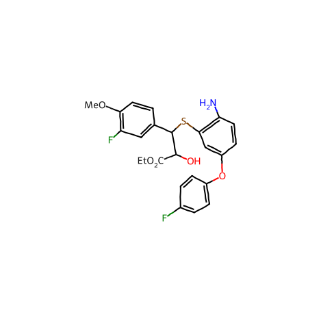 CCOC(=O)C(O)C(Sc1cc(Oc2ccc(F)cc2)ccc1N)c1ccc(OC)c(F)c1